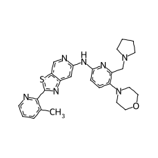 Cc1cccnc1-c1nc2cc(Nc3ccc(N4CCOCC4)c(CN4CCCC4)n3)ncc2s1